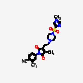 CC1=C(CCN2CCN(S(=O)(=O)c3cn(C)cn3)CC2)C(=O)N(c2ccc(C#N)c(C(F)(F)F)c2)C1=O